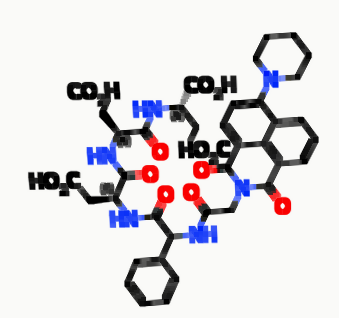 O=C(O)C[C@H](NC(=O)[C@H](CC(=O)O)NC(=O)[C@H](CC(=O)O)NC(=O)C(NC(=O)CN1C(=O)c2cccc3c(N4CCCCC4)ccc(c23)C1=O)c1ccccc1)C(=O)O